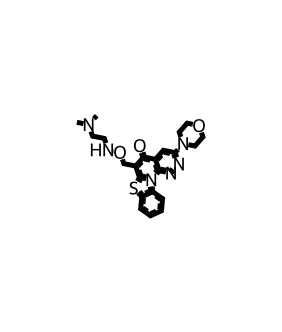 CN(C)CCNOCc1c(=O)c2cc(N3CCOCC3)nnc2n2c1sc1ccccc12